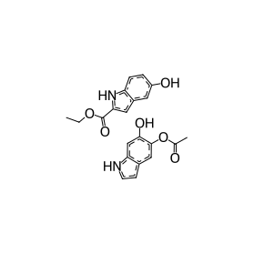 CC(=O)Oc1cc2cc[nH]c2cc1O.CCOC(=O)c1cc2cc(O)ccc2[nH]1